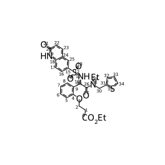 CCOC(=O)CCOc1ccccc1[C@@H](NS(=O)(=O)c1ccc2[nH]c(=O)ccc2c1)C(=O)N(CC)Cc1cccs1